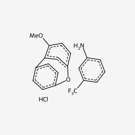 COc1ccc2cc1-c1ccc(cc1)O2.Cl.Nc1cccc(C(F)(F)F)c1